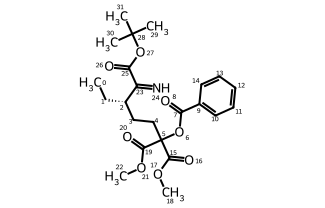 CC[C@@H](CCC(OC(=O)c1ccccc1)(C(=O)OC)C(=O)OC)C(=N)C(=O)OC(C)(C)C